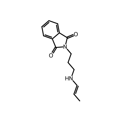 CC=CNCCCN1C(=O)c2ccccc2C1=O